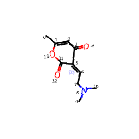 CC1=CC(=O)/C(=C/CN(C)C)C(=O)O1